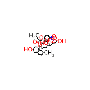 CCC(C)(Oc1ccc([N+](=O)[O-])cc1)C(=O)O[C@H]1C[C@H](O)C=C2C=C[C@@H](C)[C@H](CC[C@@H](O)C[C@@H](O)CC(=O)O)[C@H]21